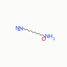 NC(=O)CCCCCCCCCCCN1C=NCC1